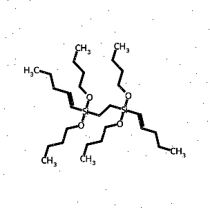 CCCC=C[Si](CC[Si](C=CCCC)(OCCCC)OCCCC)(OCCCC)OCCCC